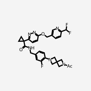 CC(=O)N1CC2(C1)CN(c1ccc(CNC(=O)C3(c4ccc(OCc5ccc(C(F)F)nc5)nn4)CC3)cc1F)C2